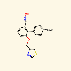 COc1ccc(-c2c(C=NO)cccc2OCc2cscn2)cc1